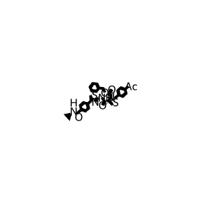 CC(=O)c1ccc(C2SC[C@@H](C(=O)Nc3nc(-c4ccc(C(=O)NC5CC5)cc4)cs3)N2C(=O)OCc2ccccc2)cc1